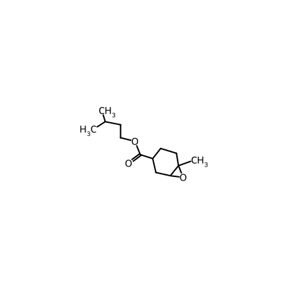 CC(C)CCOC(=O)C1CCC2(C)OC2C1